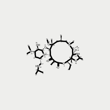 CC[C@H]1OC(=O)C(C)C(=O)[C@H](C)[C@@H](O[C@@H]2O[C@H](CNC(C)C)C[C@H](N(C)C)[C@H]2O)[C@](C)(OC)C[C@@H](C)CN(C)[C@H](C)[C@H]2NC(C)O[C@@]21C